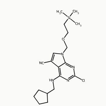 C[Si](C)(C)CCOCn1cc(C#N)c2c(NCC3CCCC3)nc(Cl)nc21